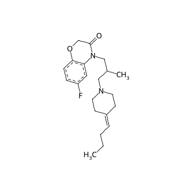 CCCC=C1CCN(CC(C)CN2C(=O)COc3ccc(F)cc32)CC1